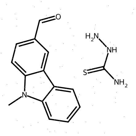 Cn1c2ccccc2c2cc(C=O)ccc21.NNC(N)=S